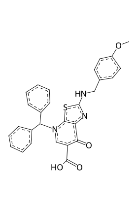 COc1ccc(CNc2nc3c(=O)c(C(=O)O)cn(C(c4ccccc4)c4ccccc4)c3s2)cc1